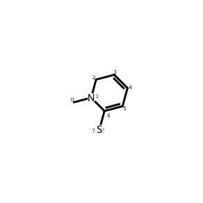 CN1CC=CC=C1[S]